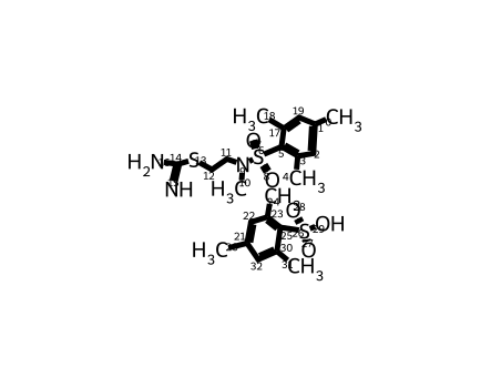 Cc1cc(C)c(S(=O)(=O)N(C)CCSC(=N)N)c(C)c1.Cc1cc(C)c(S(=O)(=O)O)c(C)c1